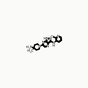 CC1(N)CCN(c2cnc3c(Nc4cccnc4Cl)n[nH]c3n2)CC1